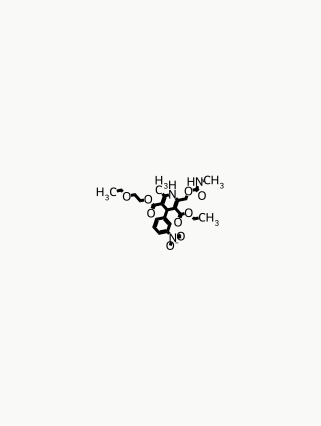 CCOCCOC(=O)C1=C(C)NC(COC(=O)NC)=C(C(=O)OCC)C1c1cccc([N+](=O)[O-])c1